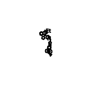 CCN1Cc2ccccc2C(C2CCCC2)(C2CCN(CC3CN(c4ccc(S(=O)(=O)CC5CC5)cc4)C3)CC2)C1